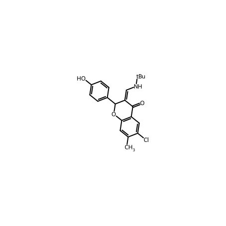 Cc1cc2c(cc1Cl)C(=O)/C(=C\NC(C)(C)C)C(c1ccc(O)cc1)O2